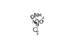 NC(=O)c1cc(=O)n(Cc2cccc(F)c2)cn1